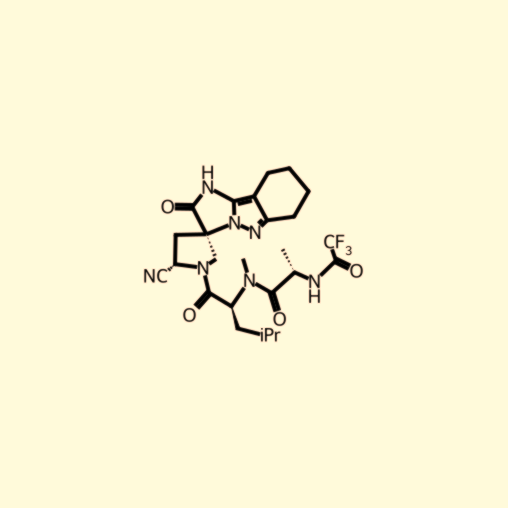 CC(C)C[C@@H](C(=O)N1C[C@]2(C[C@H]1C#N)C(=O)Nc1c3c(nn12)CCCC3)N(C)C(=O)[C@H](C)NC(=O)C(F)(F)F